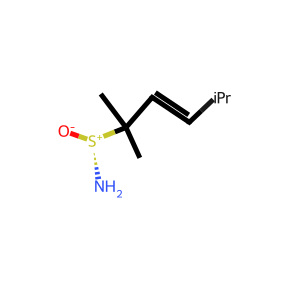 CC(C)/C=C/C(C)(C)[S@+](N)[O-]